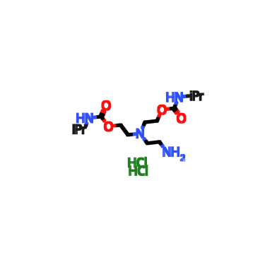 CC(C)NC(=O)OCCN(CCN)CCOC(=O)NC(C)C.Cl.Cl